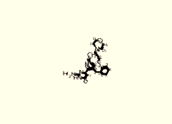 Cn1cc(Cc2ccccc2SCCN2CCOCC2)c(-c2cc(=O)[nH]c(N)n2)n1